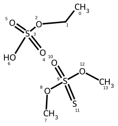 CCOS(=O)(=O)O.COS(=O)(=S)OC